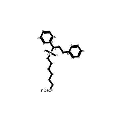 CCCCCCCCCCCCCCCC[N+](C)(C)C(CCc1ccccc1)c1ccccc1